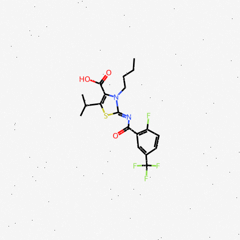 CCCCn1c(C(=O)O)c(C(C)C)s/c1=N\C(=O)c1cc(C(F)(F)F)ccc1F